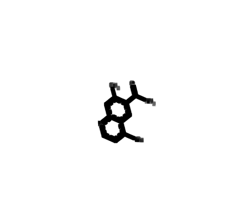 Cc1cc2nccc(C(C)(C)C)c2cc1C(N)=O